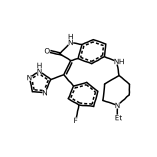 CCN1CCC(Nc2ccc3c(c2)/C(=C(\c2cccc(F)c2)c2ncn[nH]2)C(=O)N3)CC1